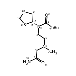 CCCCC(=O)N(CCN(C)CC(N)=O)[C@H]1CSCS1